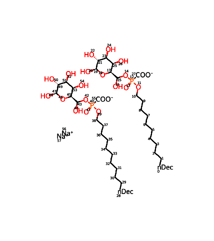 CCCCCCCCCCCCCCCCCCCCOP(=O)(OC(O)[C@H]1O[C@@H](O)[C@H](O)[C@@H](O)[C@H]1O)C(=O)[O-].CCCCCCCCCCCCCCCCCCCCOP(=O)(OC(O)[C@H]1O[C@@H](O)[C@H](O)[C@@H](O)[C@H]1O)C(=O)[O-].[Na+].[Na+]